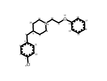 Clc1ccc(CC2CCN(CCOc3ccccc3)CC2)cc1